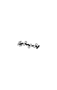 CCC(C)C(=O)OCCOC(=O)CCC(=O)OCC(F)(F)C(F)(F)F